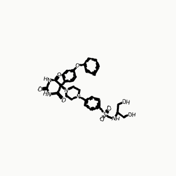 O=C1NC(=O)C(c2ccc(Oc3ccccc3)cc2)(N2CCN(c3ccc(S(=O)(=O)NC(CO)CO)cc3)CC2)C(=O)N1